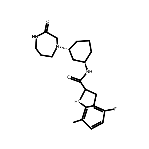 Cc1ccc(F)c2c1NC(C(=O)N[C@@H]1CCC[C@@H](N3CCCNC(=O)C3)C1)C2